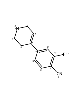 N#Cc1ccc(C2=CC[N]CC2)cc1F